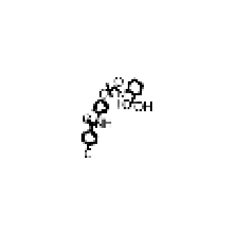 CC(C)(Oc1ccc(NC(=O)c2ccc(Cl)cc2)cc1)C(=O)NC1CCCCC1C(=O)O